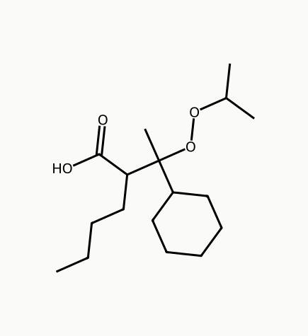 CCCCC(C(=O)O)C(C)(OOC(C)C)C1CCCCC1